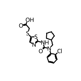 O=C(O)CSc1cnc(NC(=O)N(CC2CCCC2)c2ccccc2Cl)s1